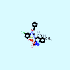 Cc1ccc(F)c([C@@H](C)[C@@H](c2n[nH]c(=O)o2)N2CN(OCc3ccccc3)c3cc(Cl)ccc3S2(=O)=O)c1C